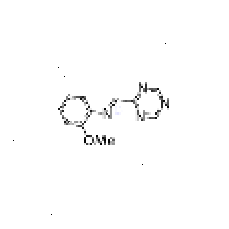 COc1ccccc1/N=C/c1ncncn1